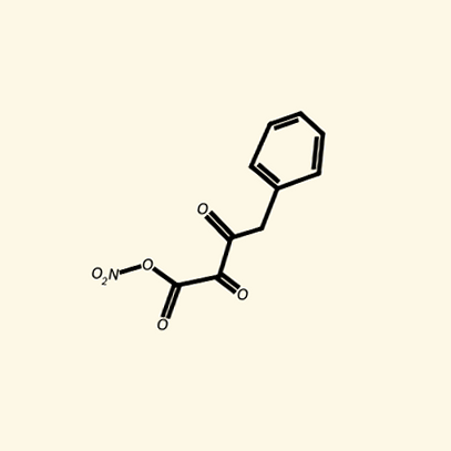 O=C(Cc1ccccc1)C(=O)C(=O)O[N+](=O)[O-]